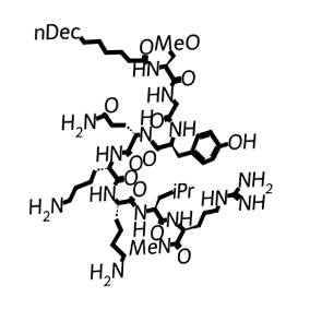 CCCCCCCCCCCCCCCC(=O)N[C@@H](COC)C(=O)NCC(=O)N[C@@H](Cc1ccc(O)cc1)C(=O)N[C@@H](CCC(N)=O)C(=O)N[C@@H](CCCCN)C(=O)N[C@@H](CCCCN)C(=O)N[C@@H](CC(C)C)C(=O)N[C@@H](CCCNC(=N)N)C(=O)NC